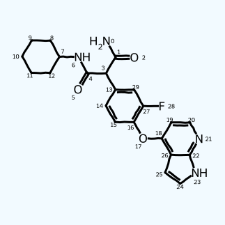 NC(=O)C(C(=O)NC1CCCCC1)c1ccc(Oc2ccnc3[nH]ccc23)c(F)c1